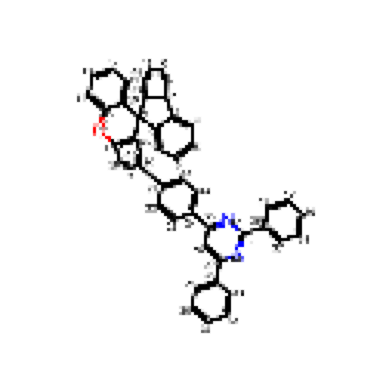 C1=CC2c3ccccc3C3(c4ccccc4Oc4ccc(-c5ccc(-c6cc(-c7ccccc7)nc(-c7ccccc7)n6)cc5)cc43)C2C=C1